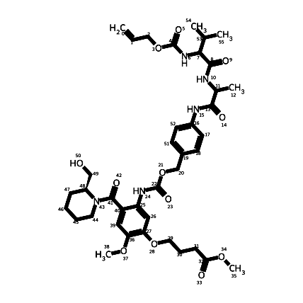 C=CCOC(=O)NC(C(=O)NC(C)C(=O)Nc1ccc(COC(=O)Nc2cc(OCCCC(=O)OC)c(OC)cc2C(=O)N2CCCC[C@H]2CO)cc1)C(C)C